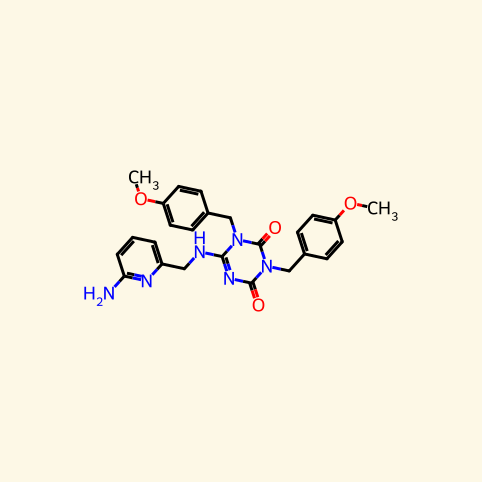 COc1ccc(Cn2c(NCc3cccc(N)n3)nc(=O)n(Cc3ccc(OC)cc3)c2=O)cc1